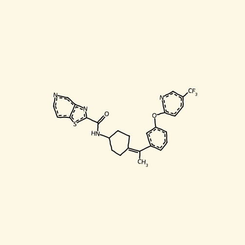 CC(=C1CCC(NC(=O)c2nc3cnccc3s2)CC1)c1cccc(Oc2ccc(C(F)(F)F)cn2)c1